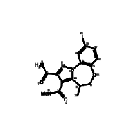 CNC(=O)c1c(C(N)=O)nn2c1C(C)COc1ccc(I)cc1-2